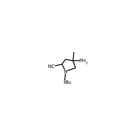 CC1(P)CC(C#N)N(C(C)(C)C)C1